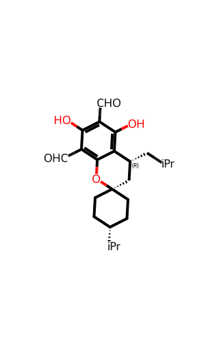 CC(C)C[C@@H]1C[C@]2(CC[C@@H](C(C)C)CC2)Oc2c(C=O)c(O)c(C=O)c(O)c21